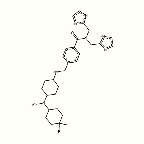 CCCN(C1CCC(NCc2ccc(C(=O)N(Cc3ncc[nH]3)Cc3ncc[nH]3)cc2)CC1)C1CCC(F)(F)CC1